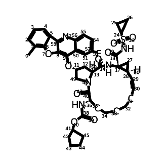 Cc1cccc2c1oc1c(O[C@@H]3C[C@H]4C(=O)N[C@]5(C(=O)NS(=O)(=O)C6CC6)C[C@H]5/C=C\CCCCC[C@H](NC(=O)OC5CCCC5)C(=O)N4C3)c3cc(F)ccc3nc12